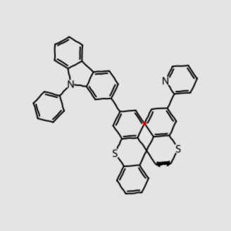 c1ccc(-n2c3ccccc3c3ccc(-c4ccc5c(c4)Sc4ccccc4C54c5ccccc5Sc5cc(-c6ccccn6)ccc54)cc32)cc1